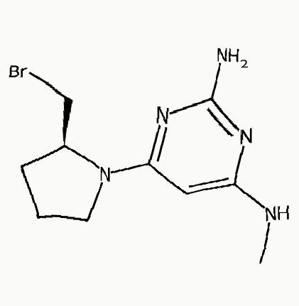 CNc1cc(N2CCC[C@H]2CBr)nc(N)n1